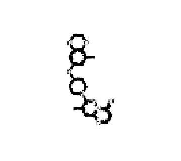 Cc1cc2nccc(=O)n2nc1N1CCC(Oc2cc(C)c3c(c2)OCCO3)CC1